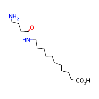 NCCCC(=O)NCCCCCCCCCCC(=O)O